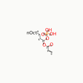 C=CC(=O)OC(CCCCCCCCCC)OP(=O)(O)O